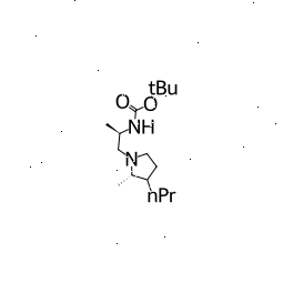 CCCC1CCN(C[C@@H](C)NC(=O)OC(C)(C)C)[C@H]1C